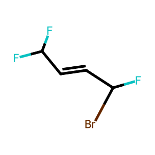 FC(F)C=CC(F)Br